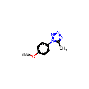 CCCCOc1ccc(-n2nnnc2C)cc1